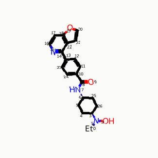 CCN(O)[C@H]1CC[C@H](NC(=O)c2ccc(-c3nccc4occc34)cc2)CC1